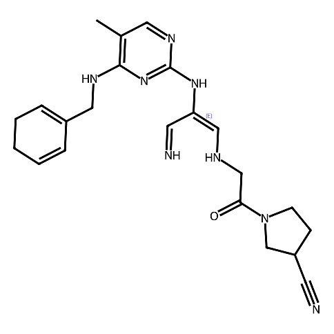 Cc1cnc(N/C(C=N)=C/NCC(=O)N2CCC(C#N)C2)nc1NCC1=CCCC=C1